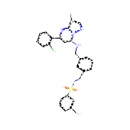 Cc1cccc(S(=O)(=O)NCc2cccc(CNc3cc(-c4ccccc4Cl)nc4c(Br)cnn34)c2)c1